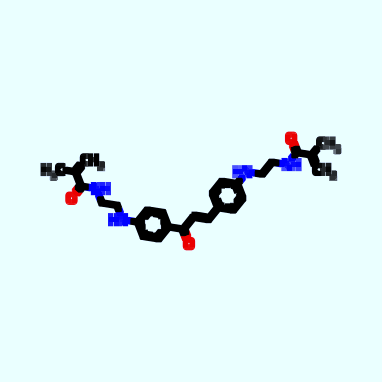 C=C(C)C(=O)NCCNc1ccc(/C=C/C(=O)c2ccc(NCCNC(=O)C(=C)C)cc2)cc1